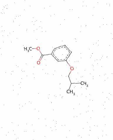 COC(=O)c1cccc(OCC(C)C)c1